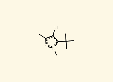 Cc1nn(C)c(C(C)(C)C)c1N